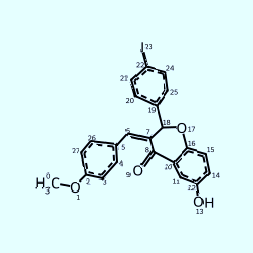 COc1ccc(C=C2C(=O)c3cc(O)ccc3OC2c2ccc(I)cc2)cc1